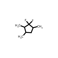 CC1CC(C)C(F)(F)C1C